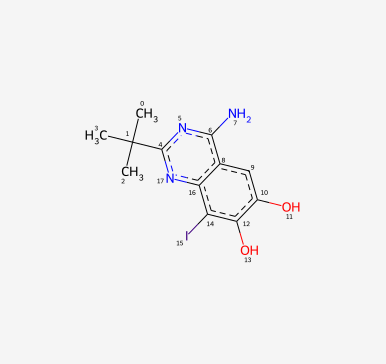 CC(C)(C)c1nc(N)c2cc(O)c(O)c(I)c2n1